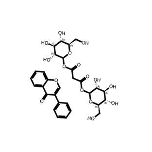 O=C(CC(=O)OC1O[C@H](CO)[C@@H](O)[C@H](O)[C@H]1O)OC1O[C@H](CO)[C@@H](O)[C@H](O)[C@H]1O.O=c1c(-c2ccccc2)coc2ccccc12